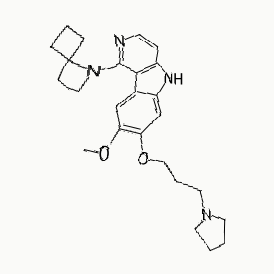 COc1cc2c(cc1OCCCN1CCCC1)[nH]c1ccnc(N3CCC34CCC4)c12